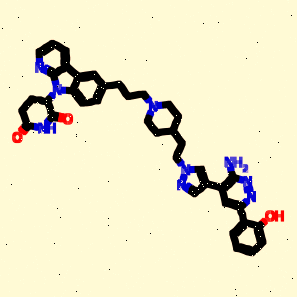 Nc1nnc(-c2ccccc2O)cc1-c1cnn(CCC2CCN(CCCc3ccc4c(c3)c3cccnc3n4C3CCC(=O)NC3=O)CC2)c1